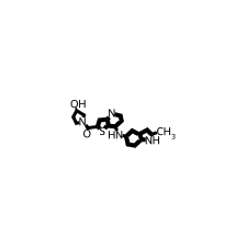 Cc1cc2cc(Nc3ccnc4cc(C(=O)N5CC[C@@H](O)C5)sc34)ccc2[nH]1